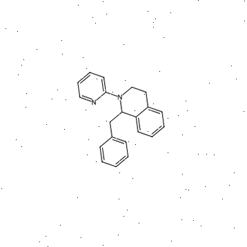 c1ccc(CC2c3ccccc3CCN2c2ccccn2)cc1